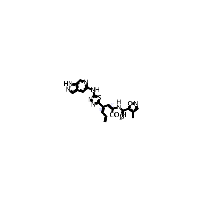 C=C/C=C(\C=C(\NC(=O)c1oncc1C)C(=O)O)c1nnc(Nc2cc3cn[nH]c3cn2)s1